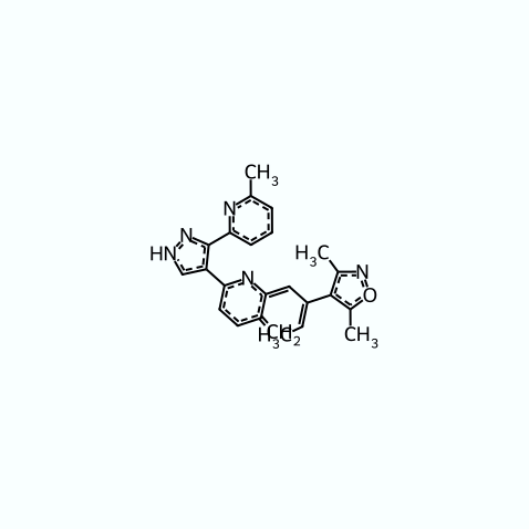 C=c1ccc(-c2c[nH]nc2-c2cccc(C)n2)n/c1=C/C(=C\C)c1c(C)noc1C